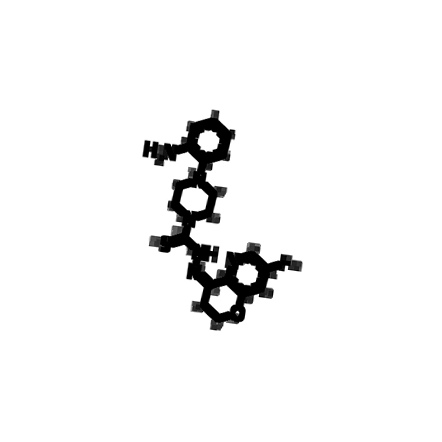 Nc1ccccc1N1CCN(C(=S)N/N=C2/CCOc3cc(F)cnc32)CC1